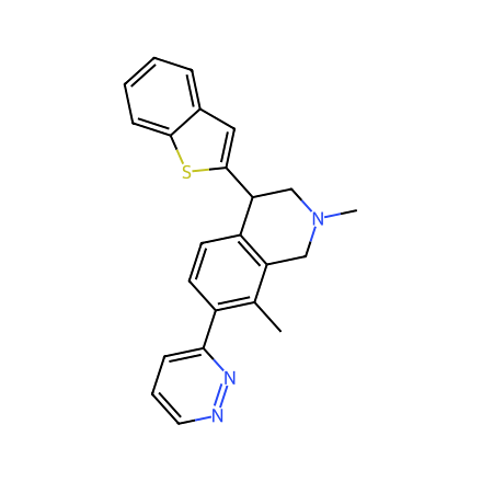 Cc1c(-c2cccnn2)ccc2c1CN(C)CC2c1cc2ccccc2s1